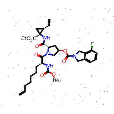 C=CCCCCC[C@H](NC(=O)OC(C)(C)C)C(=O)N1C[C@H](OC(=O)N2Cc3cccc(F)c3C2)C[C@H]1C(=O)N[C@]1(C(=O)OCC)C[C@H]1C=C